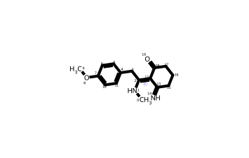 CN/C(Cc1ccc(OC)cc1)=C1\C(=N)CCCC1=O